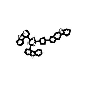 c1ccc2c(c1)oc1cc3cc(-c4ccc(-c5nc(-c6cccc7oc8ccccc8c67)nc(-c6cccc7sc8ccccc8c67)n5)cc4)ccc3cc12